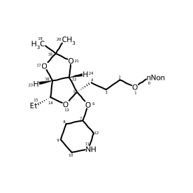 CCCCCCCCCOCCC[C@]1(OC2CCCNC2)O[C@H](CC)[C@@H]2OC(C)(C)O[C@@H]21